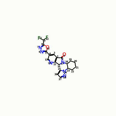 O=C1c2cc(-c3nnc(C(F)F)o3)cnc2CN1C1CCCCC1n1cccn1